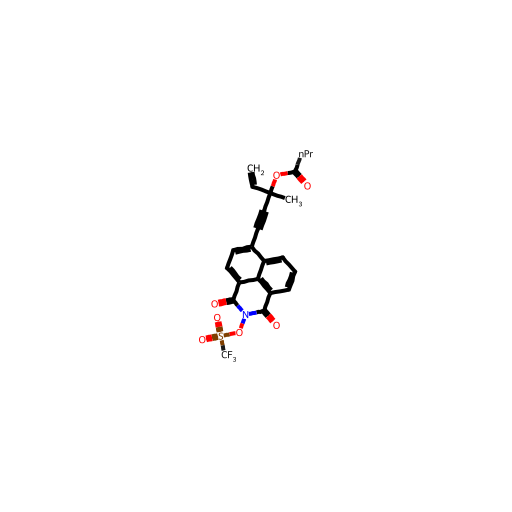 C=CC(C)(C#Cc1ccc2c3c(cccc13)C(=O)N(OS(=O)(=O)C(F)(F)F)C2=O)OC(=O)CCC